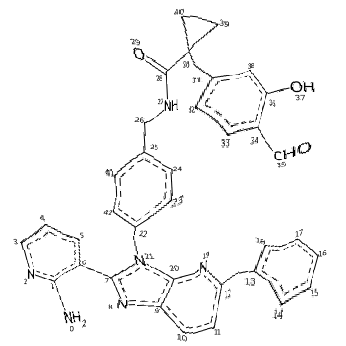 Nc1ncccc1-c1nc2ccc(-c3ccccc3)nc2n1-c1ccc(CNC(=O)C2(c3ccc(C=O)c(O)c3)CC2)cc1